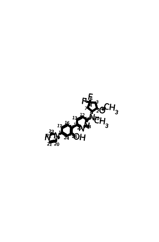 CO[C@H]1CC(F)(F)C[C@@H]1N(C)c1ccc(-c2ccc(-n3ccnc3)cc2O)nn1